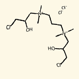 C[N+](C)(CCC[N+](C)(C)CC(O)CCl)CC(O)CCl.[Cl-].[Cl-]